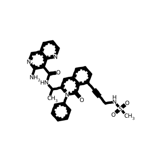 CC(NC(=O)c1c(N)ncc2cccnc12)c1cc2cccc(C#CCNS(C)(=O)=O)c2c(=O)n1-c1ccccc1